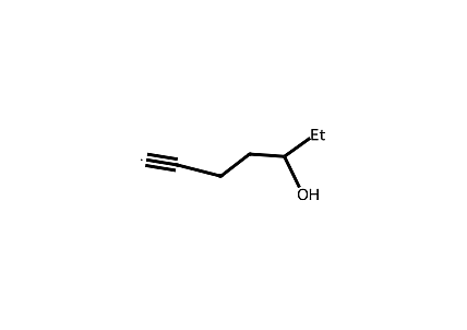 [C]#CCCC(O)CC